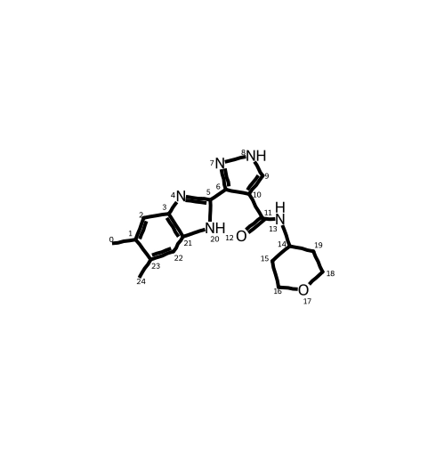 Cc1cc2nc(-c3n[nH]cc3C(=O)NC3CCOCC3)[nH]c2cc1C